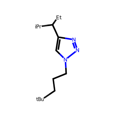 CCC(c1cn(CCCC(C)(C)C)nn1)C(C)C